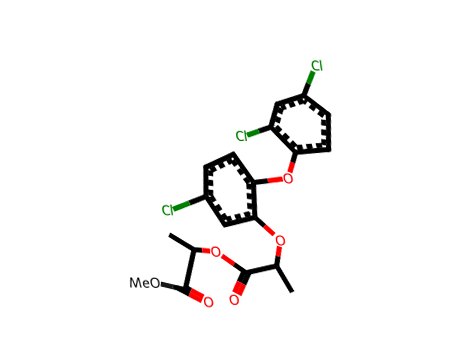 COC(=O)C(C)OC(=O)C(C)Oc1cc(Cl)ccc1Oc1ccc(Cl)cc1Cl